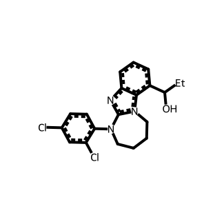 CCC(O)c1cccc2nc3n(c12)CCCCN3c1ccc(Cl)cc1Cl